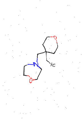 CC(=O)CC1(CN2CCOCC2)CCOCC1